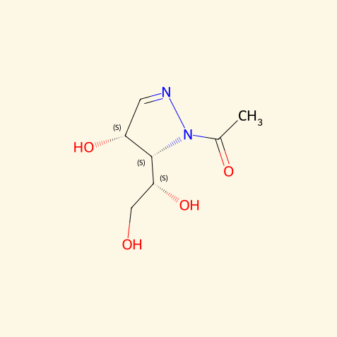 CC(=O)N1N=C[C@@H](O)[C@H]1[C@H](O)CO